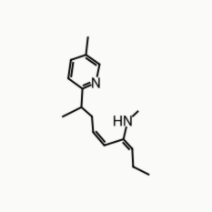 CC/C=C(\C=C/CC(C)c1ccc(C)cn1)NC